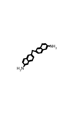 Nc1ccc2cc(Cc3ccc4cc(N)ccc4c3)ccc2c1